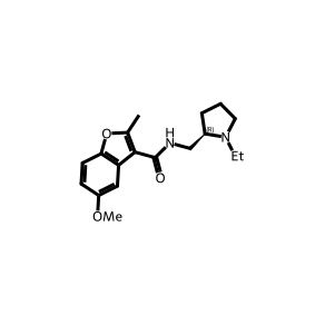 CCN1CCC[C@@H]1CNC(=O)c1c(C)oc2ccc(OC)cc12